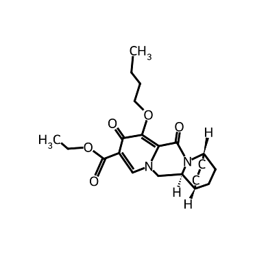 CCCCOc1c2n(cc(C(=O)OCC)c1=O)C[C@@H]1[C@H]3CC[C@H](CC3)N1C2=O